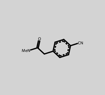 CNC(=O)Cc1ccc(C#N)cc1